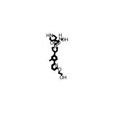 Cc1cc(C2CCN(S(=O)(=O)C3(C(=O)NO)CCNCC3)CC2)ccc1-c1cccc(OCCO)n1